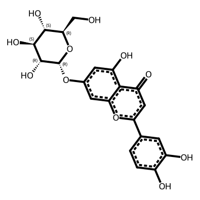 O=c1cc(-c2ccc(O)c(O)c2)oc2cc(O[C@H]3O[C@H](CO)[C@@H](O)[C@H](O)[C@H]3O)cc(O)c12